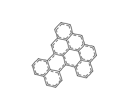 c1cc2cc3ccc4cccc5c4c3c3c2c(c1)cc1c2cccc4cccc(c42)c5c13